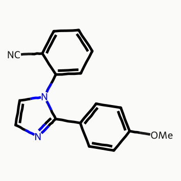 COc1ccc(-c2nccn2-c2ccccc2C#N)cc1